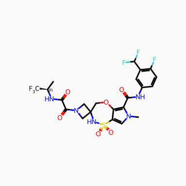 C[C@@H](NC(=O)C(=O)N1CC2(COc3c(cn(C)c3C(=O)Nc3ccc(F)c(C(F)F)c3)S(=O)(=O)N2)C1)C(F)(F)F